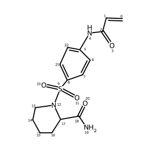 C=CC(=O)Nc1ccc(S(=O)(=O)N2CC[CH]CC2C(N)=O)cc1